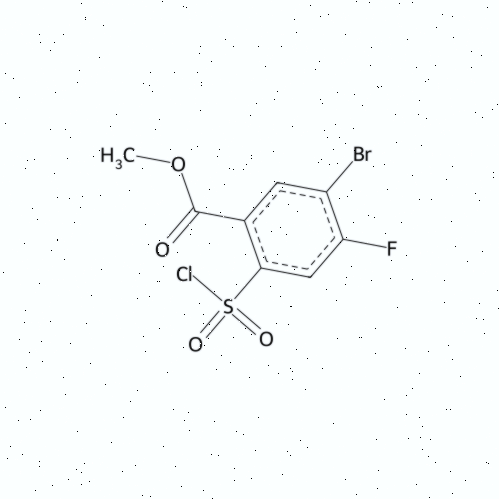 COC(=O)c1cc(Br)c(F)cc1S(=O)(=O)Cl